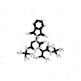 CC(C)C(NC(=O)N(CC(=O)OC(C)(C)C)N1C(=O)c2ccccc2C1=O)C(=O)OC(C)(C)C